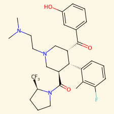 Cc1c(F)cccc1[C@H]1[C@@H](C(=O)c2cccc(O)c2)CN(CCN(C)C)C[C@@H]1C(=O)N1CCC[C@H]1C(F)(F)F